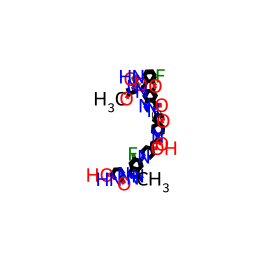 COC1CN(S(=O)(=O)Nc2ccc(F)c(Oc3ccc4ncn([C@H]5COC6(CCN(C(=O)CC7(O)CCN(c8cc9c(cc8F)c(N8CCC(O)NC8=O)nn9C)CC7)CC6)C5)c(=O)c4c3)c2C#N)C1